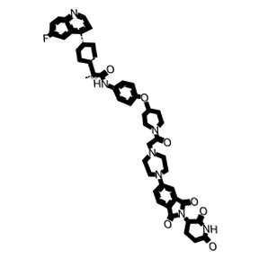 C[C@@H](C(=O)Nc1ccc(OC2CCN(C(=O)CN3CCN(c4ccc5c(c4)C(=O)N(C4CCC(=O)NC4=O)C5=O)CC3)CC2)cc1)[C@H]1CC[C@@H](c2ccnc3ccc(F)cc32)CC1